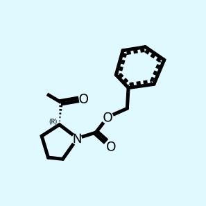 CC(=O)[C@H]1CCCN1C(=O)OCc1ccccc1